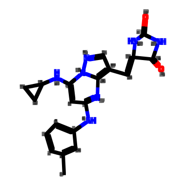 Cc1cccc(Nc2cc(NC3CC3)n3ncc(/C=C4\NC(=O)NC4=O)c3n2)c1